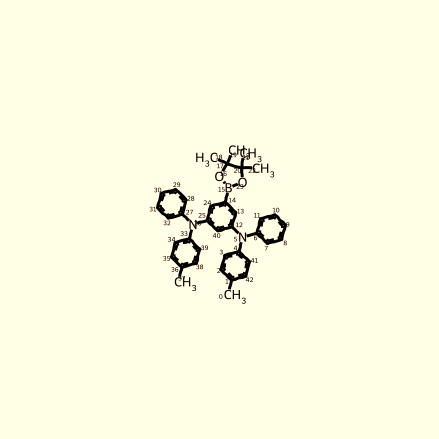 Cc1ccc(N(c2ccccc2)c2cc(B3OC(C)(C)C(C)(C)O3)cc(N(c3ccccc3)c3ccc(C)cc3)c2)cc1